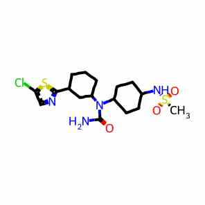 CS(=O)(=O)NC1CCC(N(C(N)=O)C2CCCC(c3ncc(Cl)s3)C2)CC1